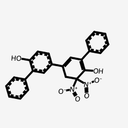 O=[N+]([O-])C1([N+](=O)[O-])CC(c2ccc(O)c(-c3ccccc3)c2)=CC(c2ccccc2)=C1O